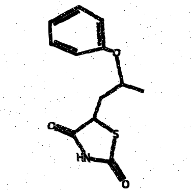 CC(CC1SC(=O)NC1=O)Oc1ccccc1